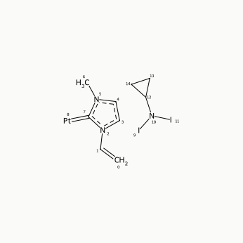 C=Cn1ccn(C)[c]1=[Pt].IN(I)C1CC1